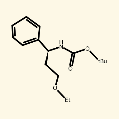 CCOCC[C@H](NC(=O)OC(C)(C)C)c1ccccc1